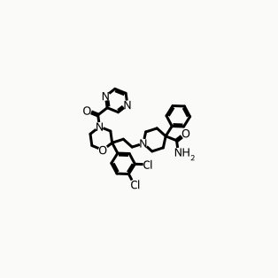 NC(=O)C1(c2ccccc2)CCN(CCC2(c3ccc(Cl)c(Cl)c3)CN(C(=O)c3cnccn3)CCO2)CC1